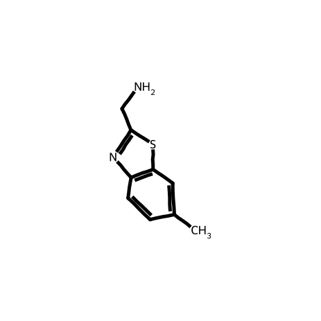 Cc1ccc2nc(CN)sc2c1